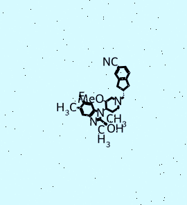 CO[C@@H]1CN(C[C@H]2Cc3ccc(C#N)cc3C2)CC[C@H]1n1c(C(C)(C)O)nc2cc(C)c(F)cc21